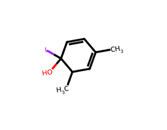 CC1=CC(C)C(O)(I)C=C1